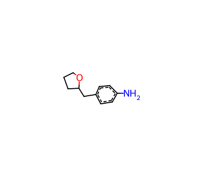 Nc1ccc(CC2CCCO2)cc1